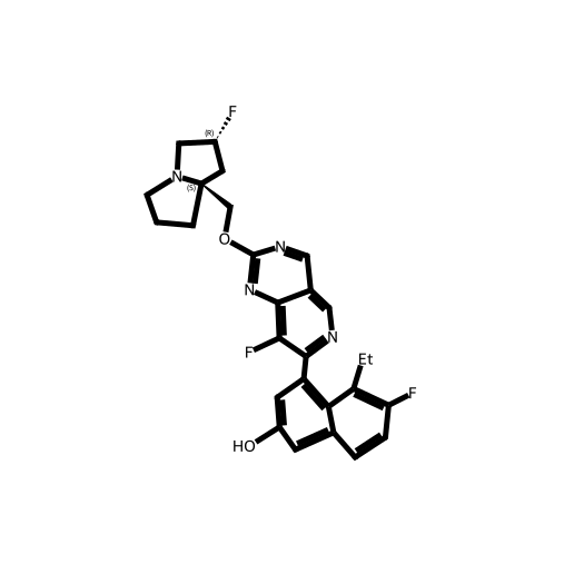 CCc1c(F)ccc2cc(O)cc(-c3ncc4cnc(OC[C@@]56CCCN5C[C@H](F)C6)nc4c3F)c12